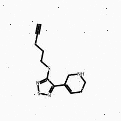 C#CCCCSc1nsnc1C1=CCCNC1